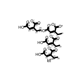 CCC(=CC(=O)O)C(=O)[O-].CCC(=CC(=O)O)C(=O)[O-].CCC(=CC(=O)O)C(=O)[O-].CCC(=CC(=O)O)C(=O)[O-].[Hf+4]